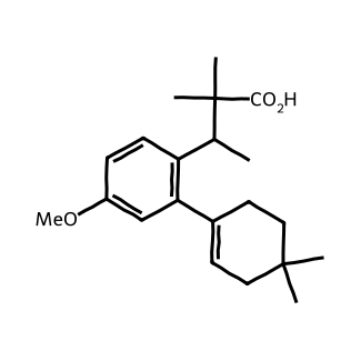 COc1ccc(C(C)C(C)(C)C(=O)O)c(C2=CCC(C)(C)CC2)c1